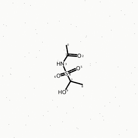 CC(=O)NS(=O)(=O)C(C)O